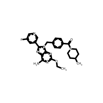 CCOc1nc(N)c2nc(-c3cncc(F)c3)n(Cc3ccc(C(=O)N4CCC(C)CC4)cc3)c2n1